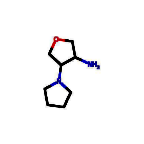 NC1COCC1N1CCCC1